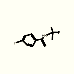 C=C(NC(C)(C)F)c1ccc(F)cc1